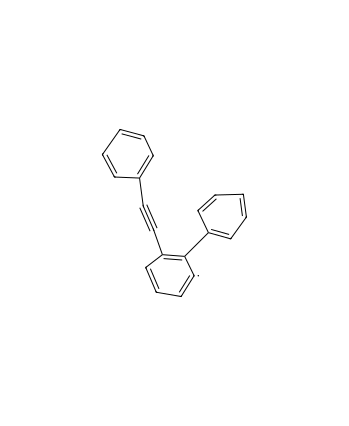 C(#Cc1ccc[c]c1-c1ccccc1)c1ccccc1